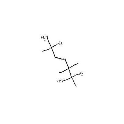 CCCC(C)(CC)C(C)(C)CCC(C)(N)CC